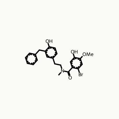 COc1cc(Br)c(C(=O)N(C)CCc2ccc(O)c(Cc3ccccc3)c2)cc1O